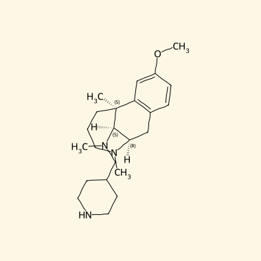 COc1ccc2c(c1)[C@]1(C)CCCN(C)[C@H](C2)[C@H]1N(C)CC1CCNCC1